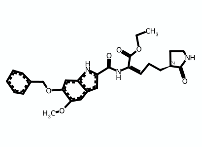 CCOC(=O)C(=CCC[C@H]1CCNC1=O)NC(=O)c1cc2cc(OC)c(OCc3ccccc3)cc2[nH]1